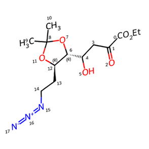 CCOC(=O)C(=O)CC(O)[C@H]1OC(C)(C)O[C@@H]1CCN=[N+]=[N-]